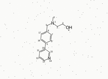 CN(CCO)Cc1ccc(-c2c[c]cnc2)cc1